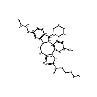 CCCCCN(C)C(=O)CN1C(=O)CCn2c(c(C3CCCCC3)c3ccc(COOC)cc32)C2=C1CC(Cl)C=C2